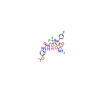 CC(C)Oc1ccc2nc(C(=O)NC[C@](O)(c3cc4c(c(-c5ccc(F)cc5)n3)OC[C@]4(C)C(N)=O)C(F)(F)F)cn2c1